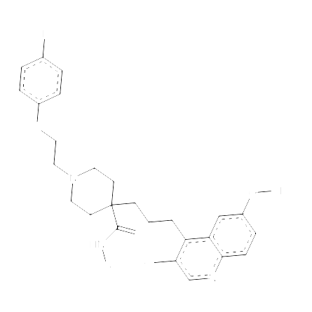 COc1ccc2ncc(Cl)c(CCCC3(C(=O)NO)CCN(CCSc4ccc(F)cc4)CC3)c2c1